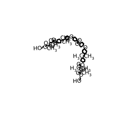 CC(C)(CC(C)(Br)C(=O)OCCO)C(=O)Oc1ccc(C(C)(C)c2ccc(Oc3ccc(S(=O)(=O)c4ccc(Oc5ccc(C(C)(C)c6ccc(OC(=O)C(C)(C)CC(C)(Br)C(=O)OCCO)cc6)cc5)cc4)cc3)cc2)cc1